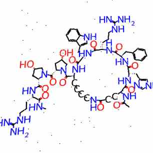 CNC(=O)[C@H](CCCNC(=N)N)NC(=O)[C@@H]1C[C@@H](O)CN1C(=O)[C@@H]1C[C@@H](O)CN1C(=O)[C@@H]1CCCCNC(=O)CC[C@H](NC(C)=O)C(=O)N[C@@H](Cc2c[nH]cn2)C(=O)N[C@H](Cc2ccccc2)C(=O)N[C@@H](CCCNC(=N)N)C(=O)N[C@@H](Cc2c[nH]c3ccccc23)C(=O)N1